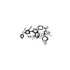 CC(C)(C=C(C#N)C(=O)N1CCCC(n2nc(-c3ccc(Oc4ccccc4)c(F)c3F)c3c(N)ncnc32)C1)N1CCOCC1